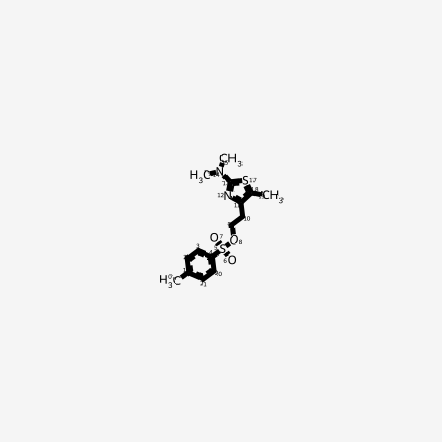 Cc1ccc(S(=O)(=O)OCCc2nc(N(C)C)sc2C)cc1